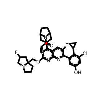 C=CC(=O)N1C2CCC1CC(c1nc(OCC34CCCN3CC(F)C4)nc3nc(-c4cc(O)cc(Cl)c4C4CC4)c(F)cc13)C2